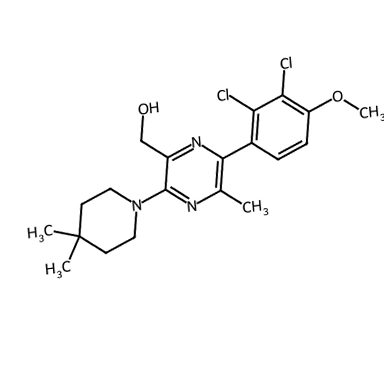 COc1ccc(-c2nc(CO)c(N3CCC(C)(C)CC3)nc2C)c(Cl)c1Cl